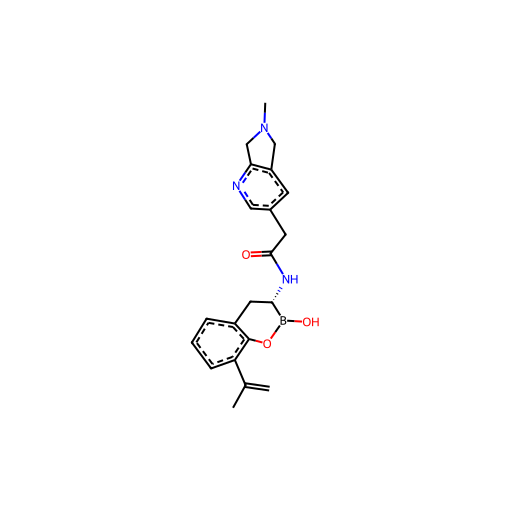 C=C(C)c1cccc2c1OB(O)[C@@H](NC(=O)Cc1cnc3c(c1)CN(C)C3)C2